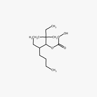 CCCCC(CC)C(OC(=O)OO)C(C)(C)CC